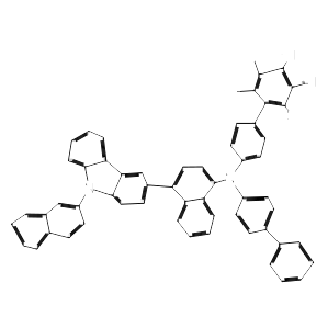 [2H]c1c([2H])c([2H])c(-c2ccc(N(c3ccc(-c4ccccc4)cc3)c3ccc(-c4ccc5c(c4)c4ccccc4n5-c4ccc5ccccc5c4)c4ccccc34)cc2)c([2H])c1[2H]